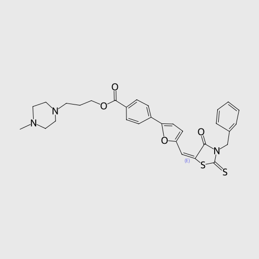 CN1CCN(CCCOC(=O)c2ccc(-c3ccc(/C=C4/SC(=S)N(Cc5ccccc5)C4=O)o3)cc2)CC1